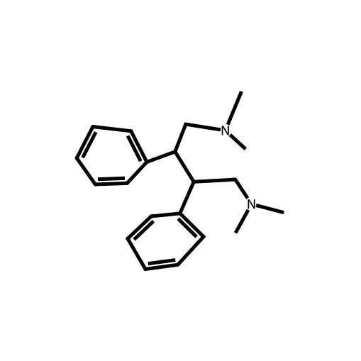 CN(C)C[C](c1ccccc1)C(CN(C)C)c1ccccc1